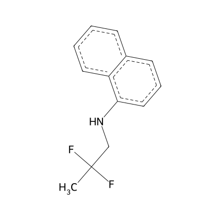 CC(F)(F)CNc1cccc2ccccc12